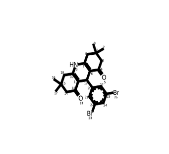 CC1(C)CC(=O)C2=C(C1)NC1=C(C(=O)CC(C)(C)C1)C2c1cc(Br)cc(Br)c1